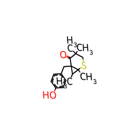 CC1C2(C)SCC(C)(C)C(=O)C12Cc1ccc(O)cc1